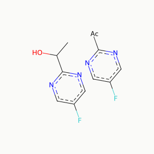 CC(=O)c1ncc(F)cn1.CC(O)c1ncc(F)cn1